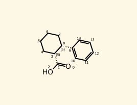 O=C(O)[C@@H]1CCCC[C@@H]1c1ccccc1